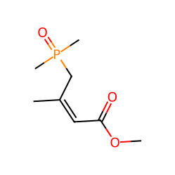 COC(=O)C=C(C)CP(C)(C)=O